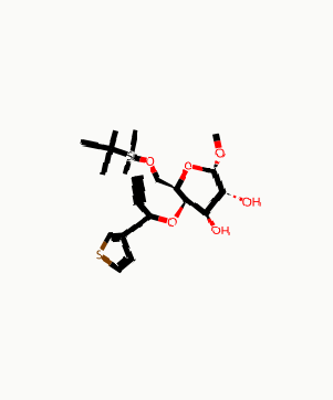 C#CC(O[C@@H]1[C@H](O)[C@@H](O)[C@@H](OC)O[C@@H]1CO[Si](C)(C)C(C)(C)C)c1ccsc1